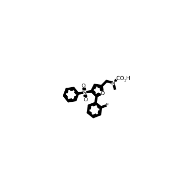 CN(Cc1cc(S(=O)(=O)c2ccccc2)c(-c2ccccc2F)o1)C(=O)O